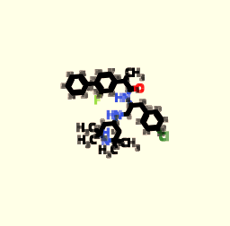 CC(C(=O)NC(CNC1CC(C)(C)NC(C)(C)C1)Cc1ccc(Cl)cc1)c1ccc(-c2ccccc2)c(F)c1